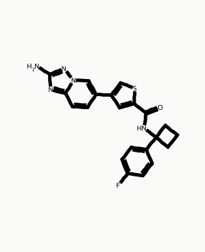 Nc1nc2ccc(-c3csc(C(=O)NC4(c5ccc(F)cc5)CCC4)c3)cn2n1